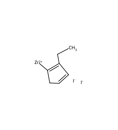 CCC1=[C]([Zr+2])CC=C1.[I-].[I-]